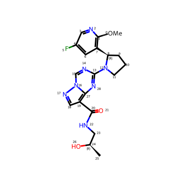 COc1ncc(F)cc1[C@H]1CCCN1c1ncn2ncc(C(=O)NC[C@@H](C)O)c2n1